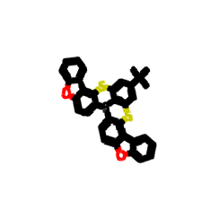 CC(C)(C)c1cc2c3c(c1)Sc1c(ccc4oc5ccccc5c14)B3c1ccc3oc4ccccc4c3c1S2